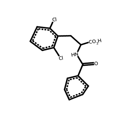 O=C(NC(Cc1c(Cl)cccc1Cl)C(=O)O)c1ccccc1